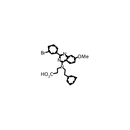 COc1ccc2c(N(CCC(=O)O)CCc3ccccc3)nc(-c3cccc(Br)c3)nc2c1